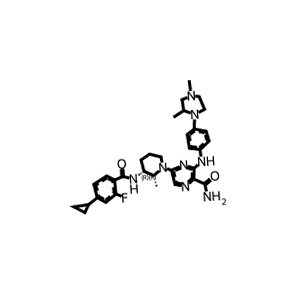 CC1CN(C)CCN1c1ccc(Nc2nc(N3CCC[C@@H](NC(=O)c4ccc(C5CC5)cc4F)[C@H]3C)cnc2C(N)=O)cc1